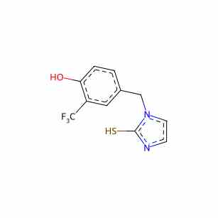 Oc1ccc(Cn2ccnc2S)cc1C(F)(F)F